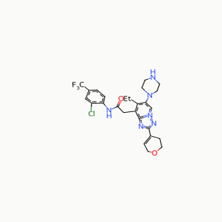 CCc1c(N2CCNCC2)cn2nc(C3=CCOCC3)nc2c1CC(=O)Nc1ccc(C(F)(F)F)cc1Cl